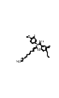 CCCc1ccc(C(=N)N(C2=CC(F)=C(OC)CC2)/C(Cl)=C/CCCCCNCO)cc1F